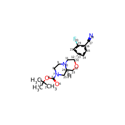 CC(C)(C)OC(=O)N1CCN2C[C@H](c3ccc(C#N)c(F)c3)OC[C@H]2C1